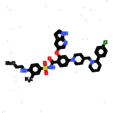 COCCNc1ccc(S(=O)(=O)NC(=O)c2ccc(N3CCC(CN4CCCCC4c4ccc(Cl)cc4)CC3)cc2Oc2cnc3[nH]ccc3c2)cc1C